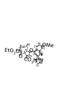 C=CC1CC1N(C(=O)OCC)C(=O)C1CC(Oc2cc(-c3nccs3)nc3cc(OC)ccc23)CC1C(=O)O